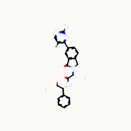 C[C@H](O)[C@@H](NC(=O)[C@@H](C)N1Cc2ccc(-c3nc(N)ncc3Cl)cc2C1=O)c1ccccc1